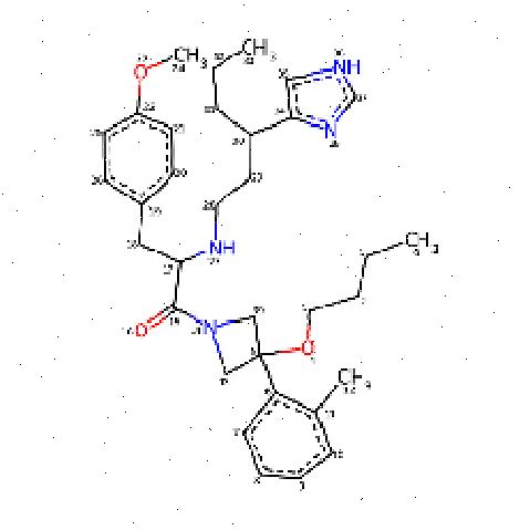 CCCCOC1(c2ccccc2C)CN(C(=O)C(Cc2ccc(OC)cc2)NCCC(CCC)c2c[nH]cn2)C1